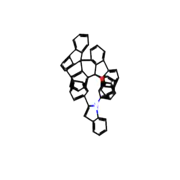 c1ccc(-n2c(-c3ccc(-c4cccc5c4C4(c6ccccc6-5)c5ccccc5C5(c6ccccc6)c6ccccc6-c6cccc4c65)cc3)cc3ccccc32)cc1